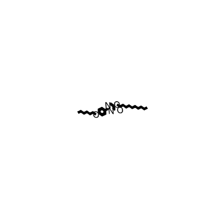 CCCCCCCCCC(=O)Oc1cnc(-c2ccc(OCCCCCC)cc2)nc1